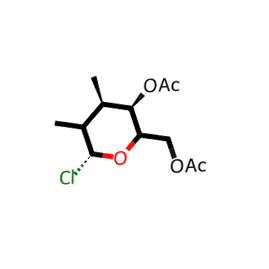 CC(=O)OCC1O[C@H](Cl)C(C)[C@@H](C)[C@H]1OC(C)=O